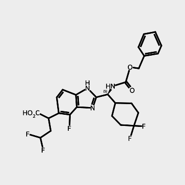 O=C(N[C@H](c1nc2c(F)c(C(CC(F)F)C(=O)O)ccc2[nH]1)C1CCC(F)(F)CC1)OCc1ccccc1